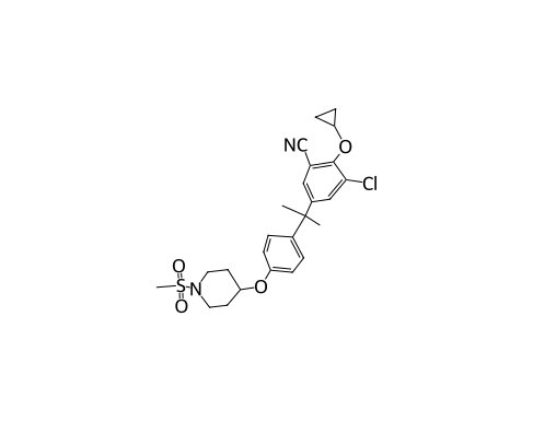 CC(C)(c1ccc(OC2CCN(S(C)(=O)=O)CC2)cc1)c1cc(Cl)c(OC2CC2)c(C#N)c1